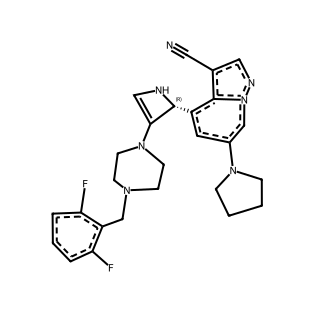 N#Cc1cnn2cc(N3CCCC3)cc([C@H]3NC=C3N3CCN(Cc4c(F)cccc4F)CC3)c12